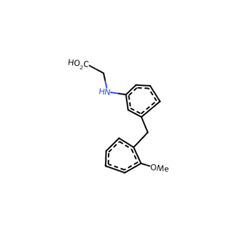 COc1ccccc1Cc1cccc(NCC(=O)O)c1